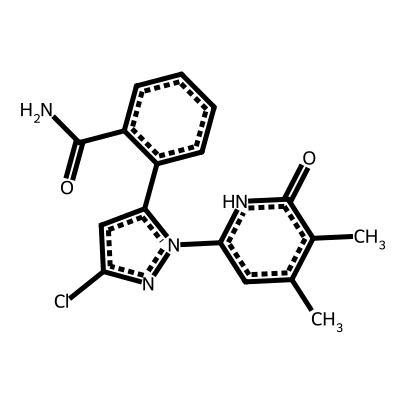 Cc1cc(-n2nc(Cl)cc2-c2ccccc2C(N)=O)[nH]c(=O)c1C